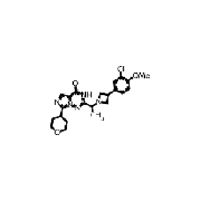 COc1ccc(C2CN(C(C)c3nn4c(C5CCOCC5)ncc4c(=O)[nH]3)C2)cc1Cl